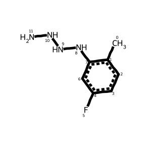 Cc1ccc(F)cc1NNNN